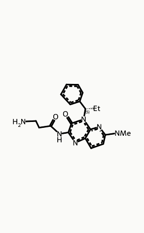 CC[C@@H](c1ccccc1)n1c(=O)c(NC(=O)CCN)nc2ccc(NC)nc21